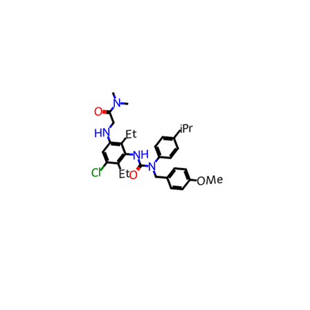 CCc1c(Cl)cc(NCC(=O)N(C)C)c(CC)c1NC(=O)N(Cc1ccc(OC)cc1)c1ccc(C(C)C)cc1